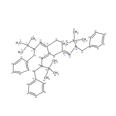 C[Si](C)(C)N(Cc1ccccc1)/N=C1/CC/C(=N\N(Cc2ccccc2)[Si](C)(C)C)C/C1=N\N(Cc1ccccc1)[Si](C)(C)C